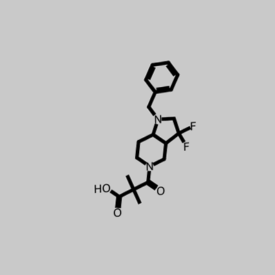 CC(C)(C(=O)O)C(=O)N1CCC2C(C1)C(F)(F)CN2Cc1ccccc1